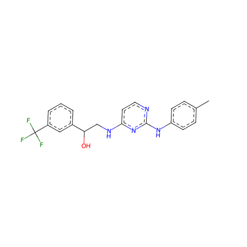 Cc1ccc(Nc2nccc(NCC(O)c3cccc(C(F)(F)F)c3)n2)cc1